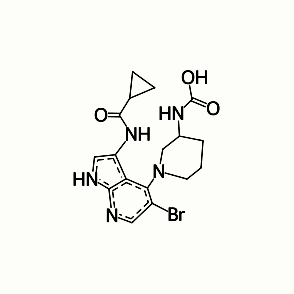 O=C(O)NC1CCCN(c2c(Br)cnc3[nH]cc(NC(=O)C4CC4)c23)C1